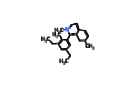 CCc1cc(CC)c(C)c(-c2c3cc(C)ccc3cc[n+]2C)c1